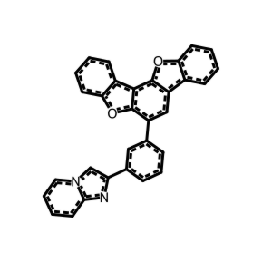 c1cc(-c2cn3ccccc3n2)cc(-c2cc3c4ccccc4oc3c3c2oc2ccccc23)c1